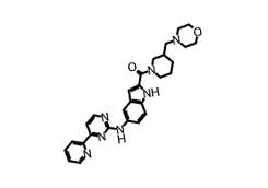 O=C(c1cc2cc(Nc3nccc(-c4ccccn4)n3)ccc2[nH]1)N1CCCC(CN2CCOCC2)C1